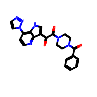 O=C(C(=O)N1CCN(C(=O)c2ccccc2)CC1)c1c[nH]c2c(-n3ccnn3)ccnc12